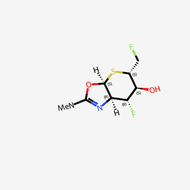 CNC1=N[C@@H]2[C@@H](F)[C@H](O)[C@@H](CF)S[C@@H]2O1